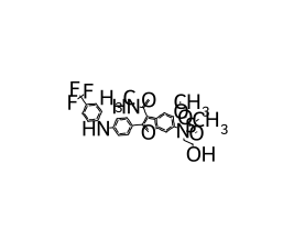 CNC(=O)c1c(-c2ccc(Nc3ccc(C(F)(F)F)cc3)cc2)oc2cc(N(CCO)S(C)(=O)=O)c(OC)cc12